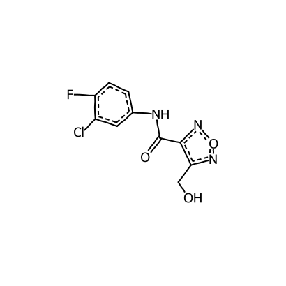 O=C(Nc1ccc(F)c(Cl)c1)c1nonc1CO